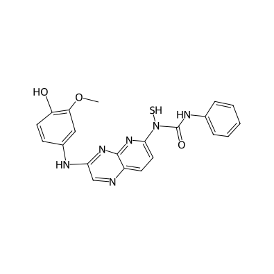 COc1cc(Nc2cnc3ccc(N(S)C(=O)Nc4ccccc4)nc3n2)ccc1O